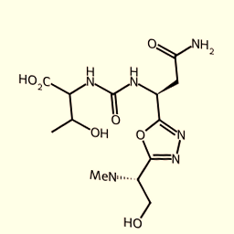 CN[C@@H](CO)c1nnc([C@H](CC(N)=O)NC(=O)NC(C(=O)O)C(C)O)o1